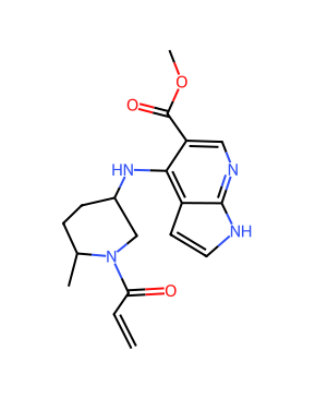 C=CC(=O)N1CC(Nc2c(C(=O)OC)cnc3[nH]ccc23)CCC1C